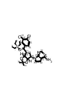 CC[Si](CC)(CC)O[C@H](c1ccc(Cl)c(Cl)c1)[C@H]1C[C@@H](n2ccc3c(N)ncnc32)[C@@H]2OC(C)(C)O[C@H]12